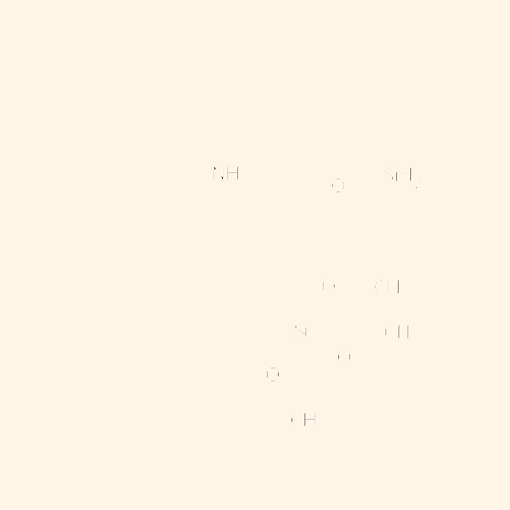 C1CC[SiH2]OC1.CO[Si](CCCNc1ccccc1)(OC)OC